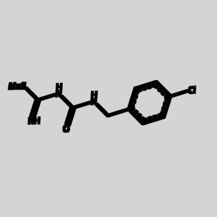 CSC(=N)NC(=O)NCc1ccc(Cl)cc1